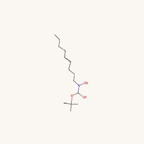 CCCCCCCCCN(O)C(O)OC(C)(C)C